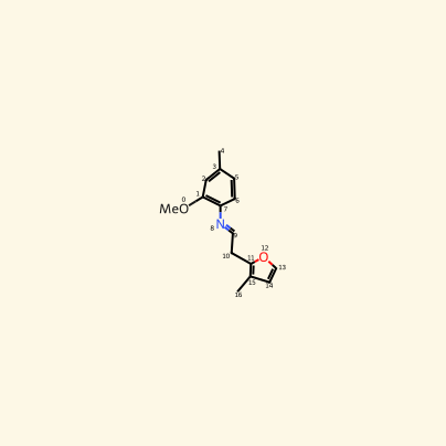 COc1cc(C)ccc1N=CCc1occc1C